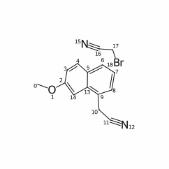 COc1ccc2cccc(CC#N)c2c1.N#CCBr